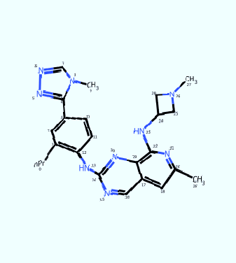 CCCc1cc(-c2nncn2C)ccc1Nc1ncc2cc(C)nc(NC3CN(C)C3)c2n1